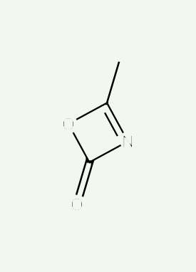 CC1=NC(=O)O1